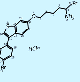 CC(C)C(N)CCCCOc1ccc2c(-c3ccc(Br)cc3)csc2c1.Cl